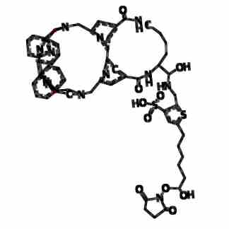 O=C1NCCCCC(C(O)NCc2sc(CCCCCC(O)ON3C(=O)CCC3=O)cc2S(=O)(=O)O)NC(=O)c2cc3nc(c2)-c2cc1cc(n2)CN1Cc2cccc(n2)-c2cccc(n2)CN(Cc2cccc(n2)-c2cccc(n2)C1)C3